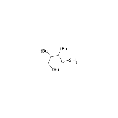 CC(C)(C)CC(C(O[SiH3])C(C)(C)C)C(C)(C)C